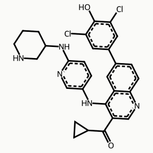 O=C(c1cnc2ccc(-c3cc(Cl)c(O)c(Cl)c3)cc2c1Nc1ccc(NC2CCCNC2)nc1)C1CC1